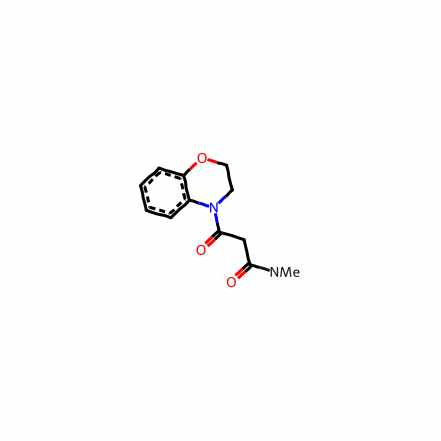 CNC(=O)CC(=O)N1CCOc2ccccc21